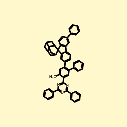 Cc1cc(-c2ccc3c(c2)C2(c4ccc(-c5ccccc5)cc4-3)C3CC4CC(C3)CC2C4)c(-c2ccccc2)cc1-c1nc(-c2ccccc2)nc(-c2ccccc2)n1